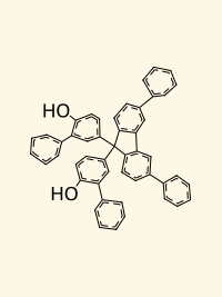 Oc1ccc(C2(c3ccc(O)c(-c4ccccc4)c3)c3ccc(-c4ccccc4)cc3-c3cc(-c4ccccc4)ccc32)cc1-c1ccccc1